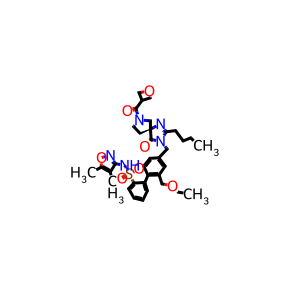 CCCCC1=N[C@]2(CCN(C(=O)C3COC3)C2)C(=O)N1Cc1ccc(-c2ccccc2S(=O)(=O)Nc2noc(C)c2C)c(COCC)c1